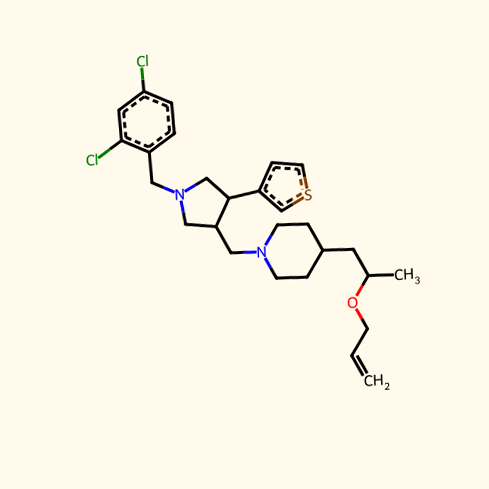 C=CCOC(C)CC1CCN(CC2CN(Cc3ccc(Cl)cc3Cl)CC2c2ccsc2)CC1